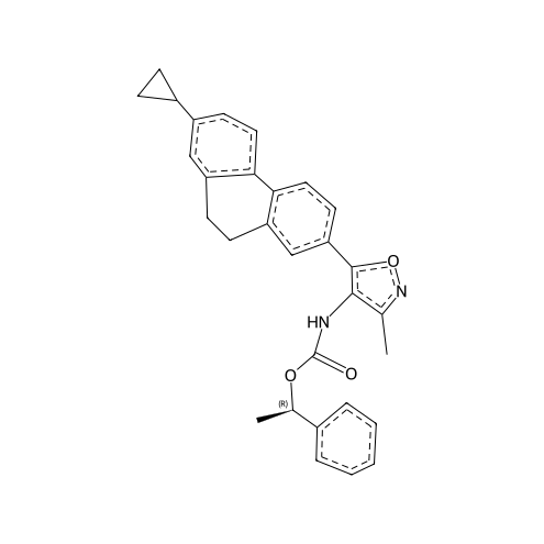 Cc1noc(-c2ccc3c(c2)CCc2cc(C4CC4)ccc2-3)c1NC(=O)O[C@H](C)c1ccccc1